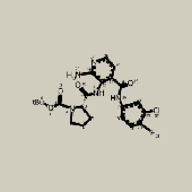 CC(C)(C)OC(=O)N1CCC[C@H]1C(=O)Nc1c(C(=O)Nc2ccc(F)c(Cl)c2)ccnc1N